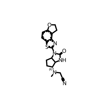 CN(CC#N)[C@@H]1CCC2C1NC(=O)N2c1nc2c3c(ccc2s1)OCC3